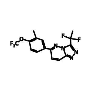 Cc1cc(-c2ccc3nnc(C(C)(F)F)n3n2)ccc1OC(F)(F)F